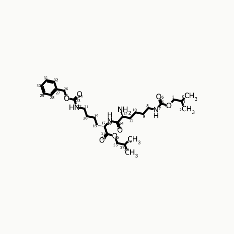 CC(C)COC(=O)NCCCC[C@H](N)C(=O)N[C@@H](CCCCNC(=O)OCc1ccccc1)C(=O)OCC(C)C